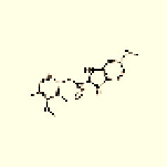 COc1ccc2c(c1)NC([S@+]([O-])Cc1ncc(C)c(OC)c1C)N2